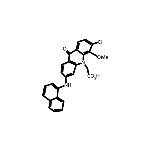 COc1c(Cl)ccc2c(=O)c3ccc(Nc4cccc5ccccc45)cc3n(CC(=O)O)c12